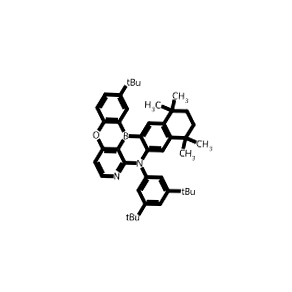 CC(C)(C)c1cc(N2c3cc4c(cc3B3c5cc(C(C)(C)C)ccc5Oc5ccnc2c53)C(C)(C)CCC4(C)C)cc(C(C)(C)C)c1